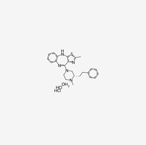 Cc1nc2c(s1)Nc1ccccc1N=C2N1CCN(C)[C@@H](CCc2ccccc2)C1.Cl.Cl.O